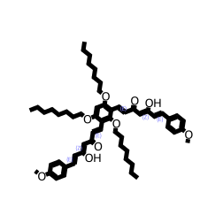 CCCCCCCCOc1cc(OCCCCCCCC)c(/C=C/C(=O)/C=C(O)/C=C/c2ccc(OC)cc2)c(OCCCCCCCC)c1/C=C/C(=O)/C=C(O)/C=C/c1ccc(OC)cc1